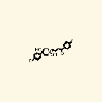 O=C(CCC[N+]1(S)CCC(O)(c2ccc(Cl)cc2)CC1)c1ccc(F)cc1